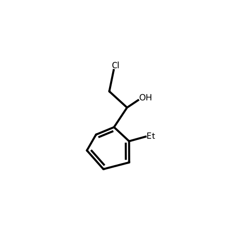 CCc1ccccc1C(O)CCl